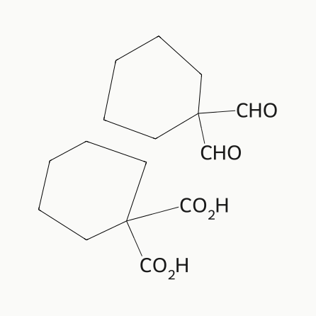 O=C(O)C1(C(=O)O)CCCCC1.O=CC1(C=O)CCCCC1